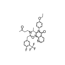 CCOc1ccc(-n2c(C(C)N(CCC(C)=O)C(=O)Cc3ccc(F)c(C(F)(F)F)c3)nc3ncccc3c2=O)cc1